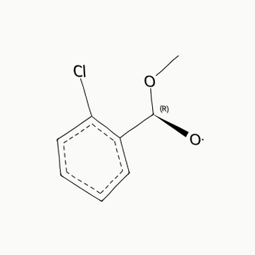 CO[C@@H]([O])c1ccccc1Cl